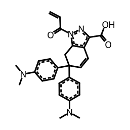 C=CC(=O)n1nc(C(=O)O)c2c1CC(c1ccc(N(C)C)cc1)(c1ccc(N(C)C)cc1)C=C2